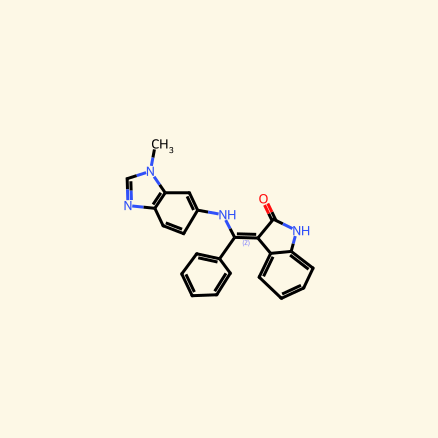 Cn1cnc2ccc(N/C(=C3\C(=O)Nc4ccccc43)c3ccccc3)cc21